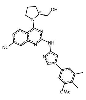 COc1cc(-n2cnc(Nc3nc(N4CCC[C@H]4CO)c4ccc(C#N)cc4n3)c2)cc(C)c1C